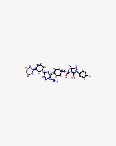 Cc1ccc(-n2c(=O)c(C(=O)Nc3ccc(-c4nc(-c5ccnc(N6CCOCC6)c5)cnc4N)cc3)c(C)n2C)cc1